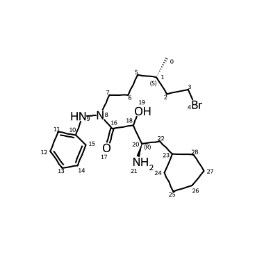 C[C@H](CCBr)CCCN(Nc1ccccc1)C(=O)C(O)[C@H](N)CC1CCCCC1